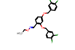 O=C(O)CO/N=C/c1ccc(OCc2ccc(F)c(F)c2)cc1OCc1ccc(F)c(F)c1